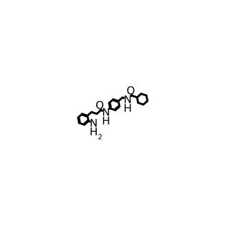 Nc1ccccc1CCC(=O)Nc1ccc(CNC(=O)C2CCCCC2)cc1